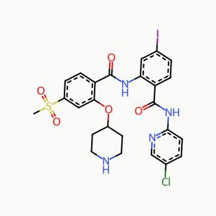 CS(=O)(=O)c1ccc(C(=O)Nc2cc(I)ccc2C(=O)Nc2ccc(Cl)cn2)c(OC2CCNCC2)c1